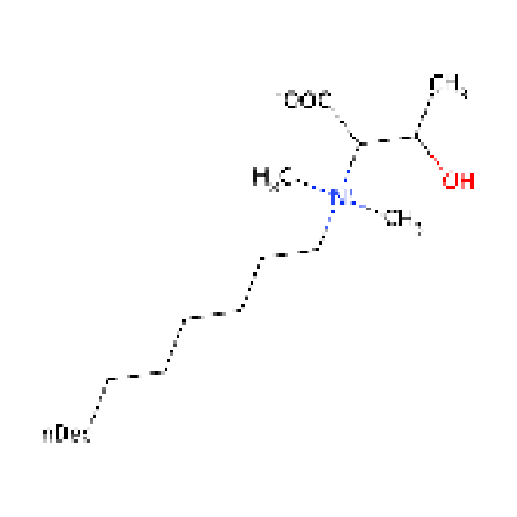 CCCCCCCCCCCCCCCC[N+](C)(C)C(C(=O)[O-])C(C)O